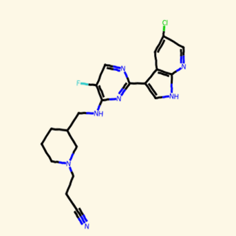 N#CCCN1CCCC(CNc2nc(-c3c[nH]c4ncc(Cl)cc34)ncc2F)C1